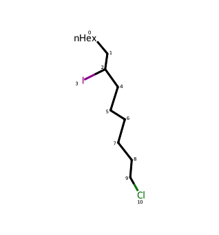 CCCCCCCC(I)CCCCCCCl